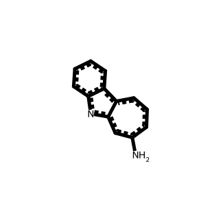 Nc1cccc2c3ccccc3nc-2c1